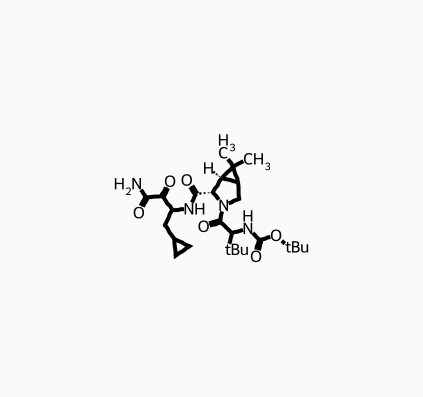 CC(C)(C)OC(=O)NC(C(=O)N1CC2[C@@H]([C@H]1C(=O)NC(CC1CC1)C(=O)C(N)=O)C2(C)C)C(C)(C)C